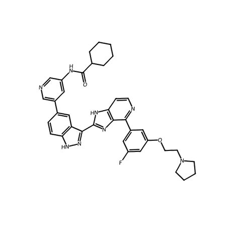 O=C(Nc1cncc(-c2ccc3[nH]nc(-c4nc5c(-c6cc(F)cc(OCCN7CCCC7)c6)nccc5[nH]4)c3c2)c1)C1CCCCC1